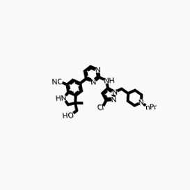 CCCN1CCC(Cn2nc(Cl)cc2Nc2nccc(-c3cc(C#N)c4c(c3)C(C)(CO)CN4)n2)CC1